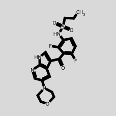 CCCS(=O)(=O)Nc1ccc(F)c(C(=O)c2c[nH]c3ncc(N4CCOCC4)cc23)c1F